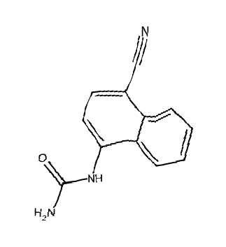 N#Cc1ccc(NC(N)=O)c2ccccc12